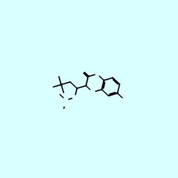 C[SiH](C)OC(CC(C)(C)C)C1Oc2cc(F)ccc2NC1=O